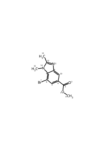 COC(=O)c1cc(Br)c2c(c1)nc(C)n2C